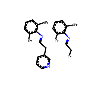 CC(C)c1cccc(C(C)C)c1N=CCc1cccnc1.CC(C)c1cccc(C(C)C)c1N=C[CH2][Fe]